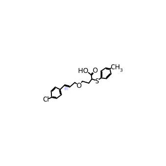 Cc1ccc(SC(CCOC/C=C/c2ccc(Cl)cc2)C(=O)O)cc1